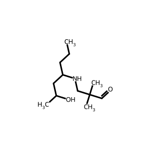 CCCC(CC(C)O)NCC(C)(C)C=O